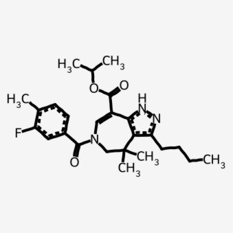 CCCCc1n[nH]c2c1C(C)(C)CN(C(=O)c1ccc(C)c(F)c1)C=C2C(=O)OC(C)C